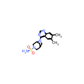 Cc1cc2ncnc(N3CC4CC3CN(S(N)(=O)=O)C4)c2cc1C